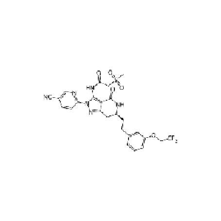 CS(=O)(=O)CC(=O)Nc1c2c(nn1-c1ccc(C#N)cn1)C[C@H](CCc1cccc(OCC(F)(F)F)c1)NC2=O